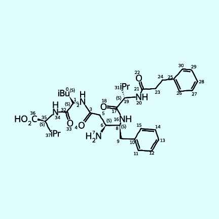 CC[C@H](C)[C@H](NC(=O)C[C@H](N)[C@H](Cc1ccccc1)NC(=O)[C@@H](NC(=O)CCc1ccccc1)C(C)C)C(=O)N[C@H](C(=O)O)C(C)C